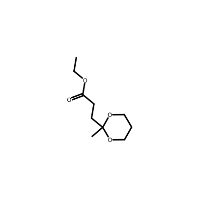 CCOC(=O)CCC1(C)OCCCO1